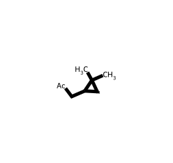 CC(=O)CC1[CH]C1(C)C